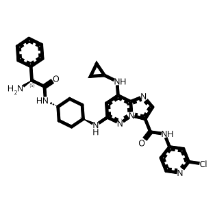 N[C@H](C(=O)N[C@H]1CC[C@H](Nc2cc(NC3CC3)c3ncc(C(=O)Nc4ccnc(Cl)c4)n3n2)CC1)c1ccccc1